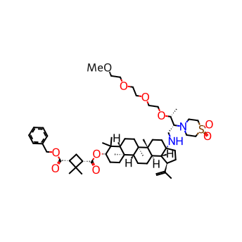 C=C(C)[C@@H]1CC[C@]2(NC[C@H]([C@@H](C)OCCOCCOCCOC)N3CCS(=O)(=O)CC3)CC[C@]3(C)[C@H](CC[C@@H]4[C@@]5(C)CC[C@H](OC(=O)[C@H]6C[C@@H](C(=O)OCc7ccccc7)C6(C)C)C(C)(C)[C@@H]5CC[C@]43C)[C@@H]12